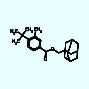 Cc1cc(C(=O)OCC23CC4CC(CC(C4)C2)C3)ccc1C(C)(C)C